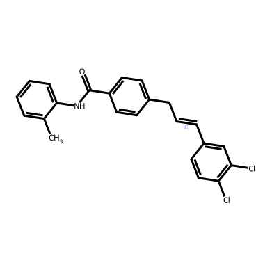 Cc1ccccc1NC(=O)c1ccc(C/C=C/c2ccc(Cl)c(Cl)c2)cc1